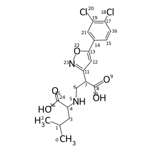 CC(C)CC(NCC(C(=O)O)c1cc(-c2ccc(Cl)c(Cl)c2)on1)C(=O)O